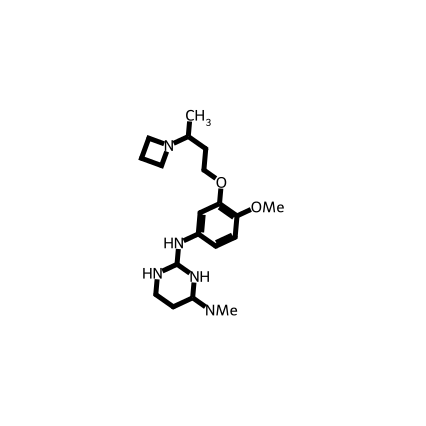 CNC1CCNC(Nc2ccc(OC)c(OCCC(C)N3CCC3)c2)N1